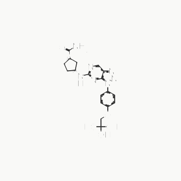 CC(C)(O)COc1ccc(-n2nnc3cnc(N[C@@H]4CC[C@@H](C(N)=O)C4)nc32)cc1